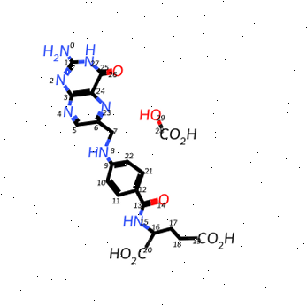 Nc1nc2ncc(CNc3ccc(C(=O)NC(CCC(=O)O)C(=O)O)cc3)nc2c(=O)[nH]1.O=C(O)O